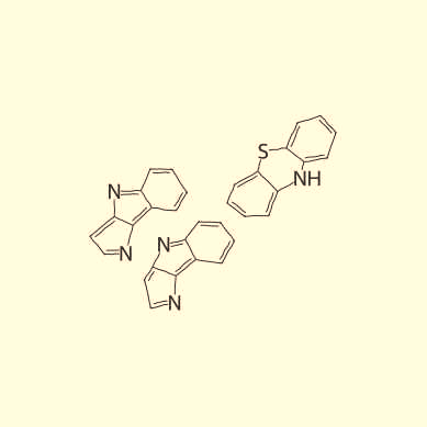 C1=NC2=c3ccccc3=NC2=C1.C1=NC2=c3ccccc3=NC2=C1.c1ccc2c(c1)Nc1ccccc1S2